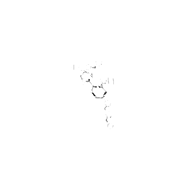 C[C@]1(OC=O)CSC(c2ccc(OCOC=O)cc2O)=N1